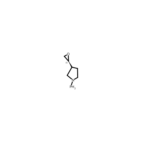 PN1CCC([C@H]2CO2)C1